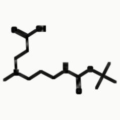 CN(CCCNC(=O)OC(C)(C)C)CCC(=O)O